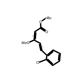 CCCCOC(=O)/C=C(\C=C\c1ccccc1Cl)OC